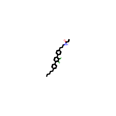 C=CC(=O)NCCCc1ccc(-c2ccc(-c3ccc(CCCCC)cc3)c(F)c2F)cc1